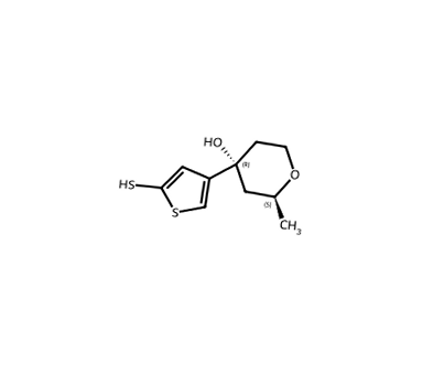 C[C@H]1C[C@@](O)(c2csc(S)c2)CCO1